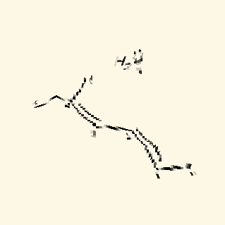 CC=CC=C(C)C.O